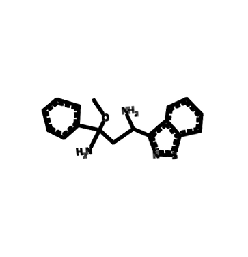 COC(N)(CC(N)c1nsc2ccccc12)c1ccccc1